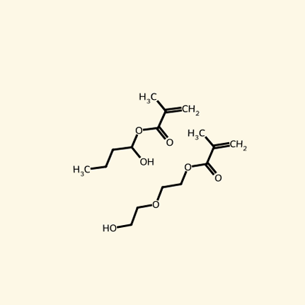 C=C(C)C(=O)OC(O)CCC.C=C(C)C(=O)OCCOCCO